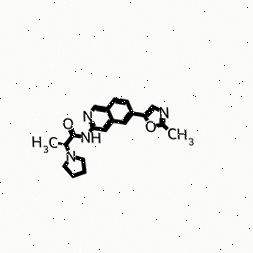 Cc1ncc(-c2ccc3cnc(NC(=O)[C@H](C)N4CCCC4)cc3c2)o1